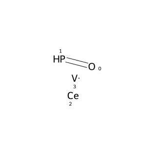 O=P.[Ce].[V]